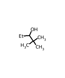 CCC(O)C(C)(C)C